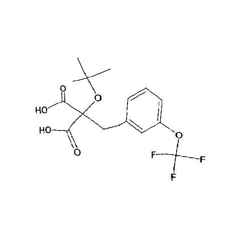 CC(C)(C)OC(Cc1cccc(OC(F)(F)F)c1)(C(=O)O)C(=O)O